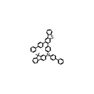 CC1(C)c2ccccc2-c2ccc(N(c3ccc(-c4ccccc4)cc3)c3ccc(-c4cc5sc6ccccc6c5cc4-c4ccc(-c5ccccc5)cc4)cc3)cc21